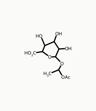 CC(=O)OC(C)OC1OC(C(=O)O)C(O)C(O)C1O